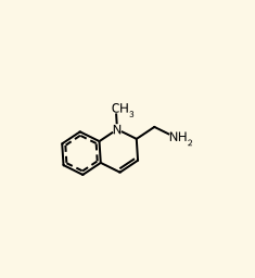 CN1c2ccccc2C=CC1CN